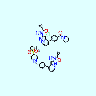 CS(=O)(=O)C1CCN(Cc2ccc(-c3cccn4nc(NC(=O)C5CC5)cc34)cc2)CC1.O=C(Nc1nn2cccc(-c3ccc(C(=O)N4CCCCC4)cc3)c2c1Cl)C1CC1